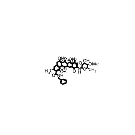 CO[C@@H]1[C@@H](O)[C@@H](OC)C(NC2=CC(=O)c3c(cc4c(c3O)C(=O)[C@]3(OC)[C@H](O)Cc5cc(C)c(C(=O)NCc6ccccc6)c(O)c5[C@]3(O)C4=O)C2=O)O[C@H]1C